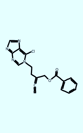 C=C=C(CCn1cnc2ncnc-2c1Cl)COC(=O)c1ccccc1